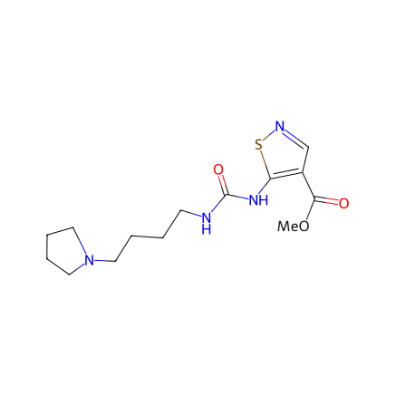 COC(=O)c1cnsc1NC(=O)NCCCCN1CCCC1